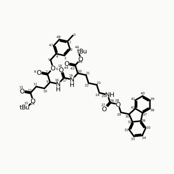 Cc1ccc(COC(=O)C(CCC(=O)OC(C)(C)C)NC(=O)NC(CCCCNC(=O)OCC2c3ccccc3-c3ccccc32)C(=O)OC(C)(C)C)cc1